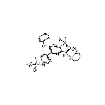 CS(=O)(=O)Nc1ccc(-c2nc(C(=O)N[C@@H]3CCCC[C@H]3O)c(C(F)(F)F)nc2Oc2ccccc2)cc1